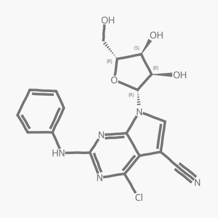 N#Cc1cn([C@@H]2O[C@H](CO)[C@@H](O)[C@H]2O)c2nc(Nc3ccccc3)nc(Cl)c12